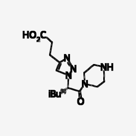 CC[C@@H](C)C(C(=O)N1CCNCC1)n1cc(CCC(=O)O)nn1